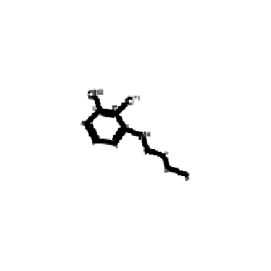 CCCC[N]c1cccc(Cl)c1Cl